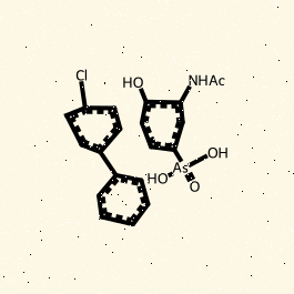 CC(=O)Nc1cc([As](=O)(O)O)ccc1O.Clc1ccc(-c2ccccc2)cc1